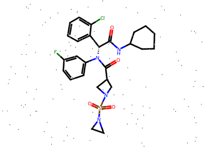 O=C(NC1CCCCC1)[C@@H](c1ccccc1Cl)N(C(=O)C1CN(S(=O)(=O)N2CC2)C1)c1cccc(F)c1